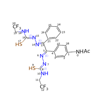 CC(=O)Nc1ccc(C(=N\N=C(/S)NCC(F)(F)F)/C(=N/N=C(\S)NCC(F)(F)F)c2ccccc2)cc1